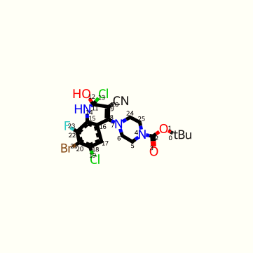 CC(C)(C)OC(=O)N1CCN(C2=C(C#N)C(O)(Cl)Nc3c2cc(Cl)c(Br)c3F)CC1